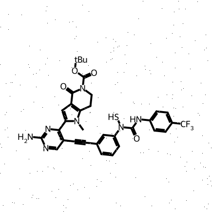 Cn1c(-c2nc(N)ncc2C#Cc2cccc(N(S)C(=O)Nc3ccc(C(F)(F)F)cc3)c2)cc2c1CCN(C(=O)OC(C)(C)C)C2=O